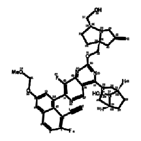 C#Cc1c(F)ccc2cc(OCOC)cc(-c3ncc4c(N5C[C@H]6CC[C@@H](C5)N6C(=O)O)nc(OC[C@@]56CC[C@@H](CO)N5CC(=C)C6)nc4c3F)c12